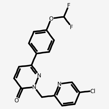 O=c1ccc(-c2ccc(OC(F)F)cc2)nn1Cc1ccc(Cl)cn1